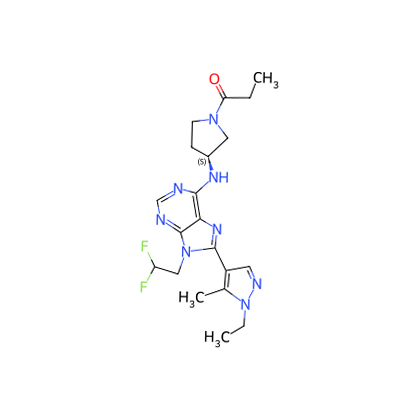 CCC(=O)N1CC[C@H](Nc2ncnc3c2nc(-c2cnn(CC)c2C)n3CC(F)F)C1